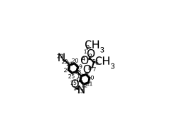 CCOC(=O)C(C)COc1ccc2ncoc2c1-c1ccc(C#N)cc1